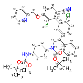 CC(C)(C)OC(=O)NC1CCC(N(CC(c2ccccc2)c2ccc(Cl)c(-c3c(C#N)ccc(OCc4ccccn4)c3F)c2)C(=O)OC(C)(C)C)CC1